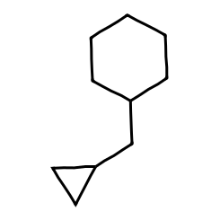 C1CCC(CC2CC2)CC1